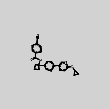 N#Cc1ccc(C(=O)NC2(c3ccc(-c4ccc(OC5CC5)nc4)cc3)CCC2)cc1